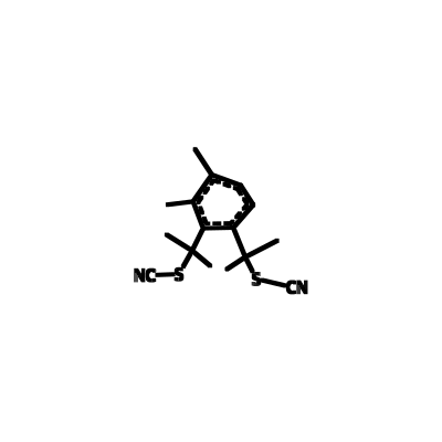 Cc1ccc(C(C)(C)SC#N)c(C(C)(C)SC#N)c1C